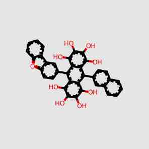 Oc1c(O)c(O)c2c(-c3ccc4oc5ccccc5c4c3)c3c(O)c(O)c(O)c(O)c3c(-c3ccc4ccccc4c3)c2c1O